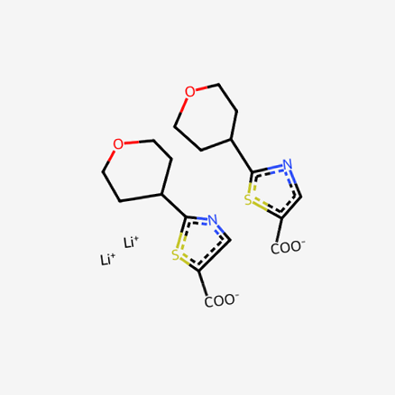 O=C([O-])c1cnc(C2CCOCC2)s1.O=C([O-])c1cnc(C2CCOCC2)s1.[Li+].[Li+]